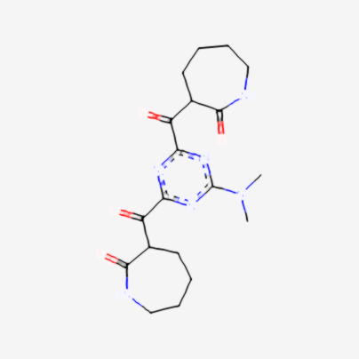 CN(C)c1nc(C(=O)C2CCCCNC2=O)nc(C(=O)C2CCCCNC2=O)n1